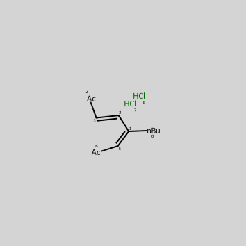 CCCCC(C=CC(C)=O)=CC(C)=O.Cl.Cl